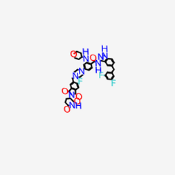 O=C1CCC(N2C(=O)c3cc(F)c(CN4CCN(c5ccc(C(=O)Nc6n[nH]c7ccc(Cc8cc(F)cc(F)c8)cc67)c(NC6CCOCC6)c5)CC4)cc3C2=O)C(=O)N1